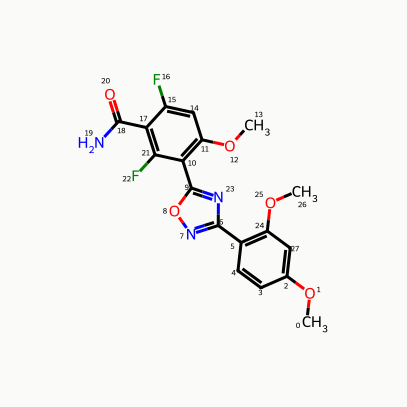 COc1ccc(-c2noc(-c3c(OC)cc(F)c(C(N)=O)c3F)n2)c(OC)c1